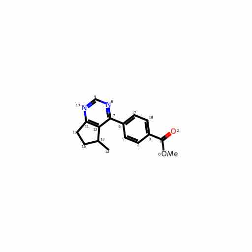 COC(=O)c1ccc(-c2ncnc3c2C(C)CC3)cc1